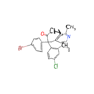 CC(=O)C(c1ccc(Br)cc1)(c1ccnc(C)c1)c1ccc(Cl)cc1C